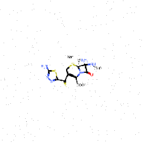 Nc1nnc(C(=S)C2=C(C(=O)[O-])N3C(=O)[C@](N)(NC=O)[C@@H]3SC2)s1.[Na+]